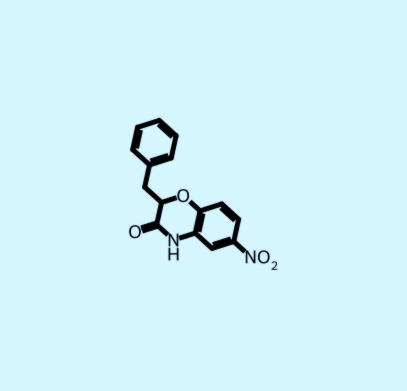 O=C1Nc2cc([N+](=O)[O-])ccc2OC1Cc1ccccc1